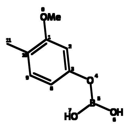 COc1cc(OB(O)O)ccc1C